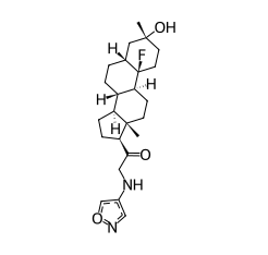 C[C@@]1(O)CC[C@@]2(F)[C@H](CC[C@H]3[C@@H]4CC[C@H](C(=O)CNc5cnoc5)[C@@]4(C)CC[C@@H]32)C1